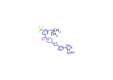 CN(C)Cc1cc(C(=O)N2CCC(N3CC(n4cc(-c5ncnc6[nH]ccc56)cn4)C3)CC2)nc(C(F)(F)F)n1